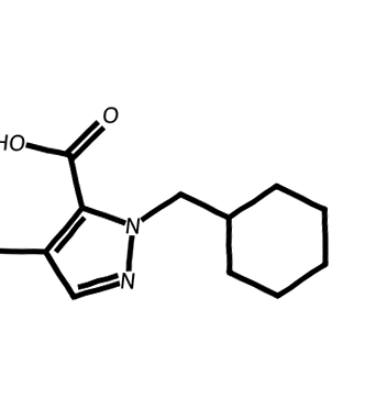 O=C(O)c1c(F)cnn1CC1CCCCC1